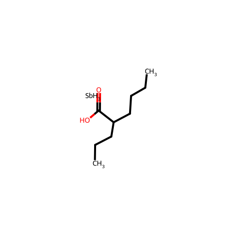 CCCCC(CCC)C(=O)O.[SbH3]